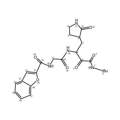 CC(C)(C)NC(=O)C(=O)C(CC1CCNC1=O)NC(=O)CNC(=O)c1cc2ccccc2o1